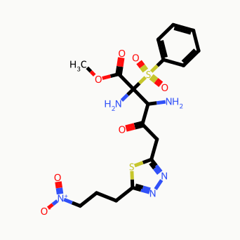 COC(=O)C(N)(C(N)C(=O)Cc1nnc(CCC[N+](=O)[O-])s1)S(=O)(=O)c1ccccc1